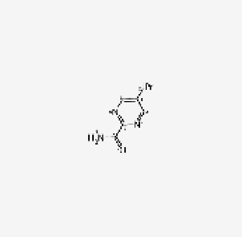 CC(C)c1cnc(C(N)=O)nc1